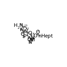 CCCCCCCC(=O)OC[C@@]1(N=[N+]=[N-])O[C@@H](n2ccc(N)nc2=O)[C@H](F)[C@@H]1O